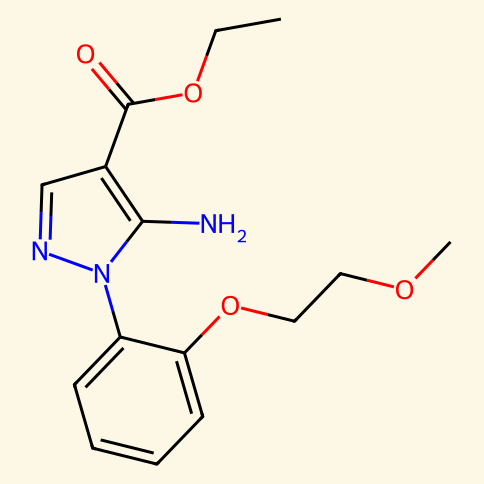 CCOC(=O)c1cnn(-c2ccccc2OCCOC)c1N